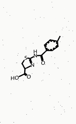 Cc1ccc(C(=O)NC2=NC(C(=O)O)CS2)cc1